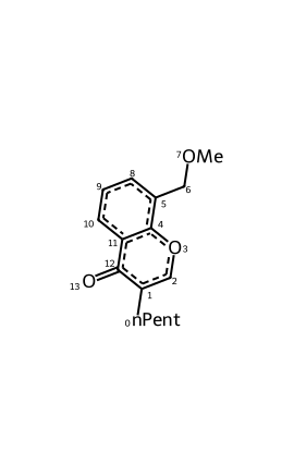 CCCCCc1coc2c(COC)cccc2c1=O